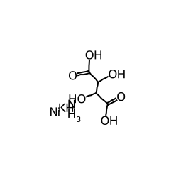 N.O=C(O)C(O)C(O)C(=O)O.[KH].[Ni]